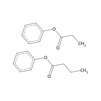 CCC(=O)Oc1ccccc1.CCCC(=O)Oc1ccccc1